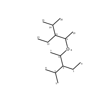 CCC(C(C)C)C(C)OC(C)C(CC)C(C)C